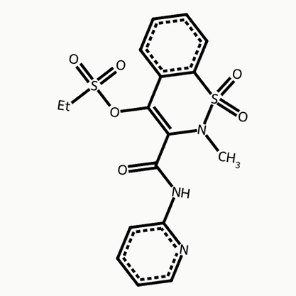 CCS(=O)(=O)OC1=C(C(=O)Nc2ccccn2)N(C)S(=O)(=O)c2ccccc21